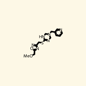 COCc1nc(CSC2=NCN(Cc3cccnc3)CN2)no1